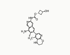 Cc1c(-c2cc3cc(NC(=O)O[C@H]4C[C@H](O)C4)ncc3c(N)c2F)cnc2c1NCCO2